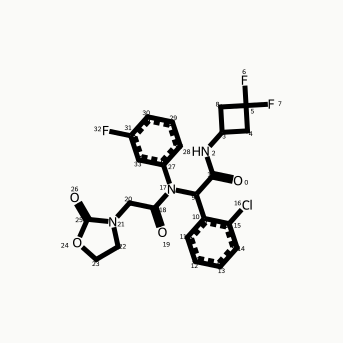 O=C(NC1CC(F)(F)C1)C(c1ccccc1Cl)N(C(=O)CN1CCOC1=O)c1cccc(F)c1